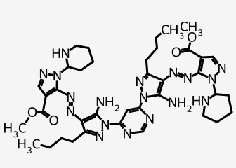 CCCCc1nn(-c2cc(-n3nc(CCCC)c(/N=N/c4c(C(=O)OC)cnn4C4CCCCN4)c3N)ncn2)c(N)c1/N=N/c1c(C(=O)OC)cnn1C1CCCCN1